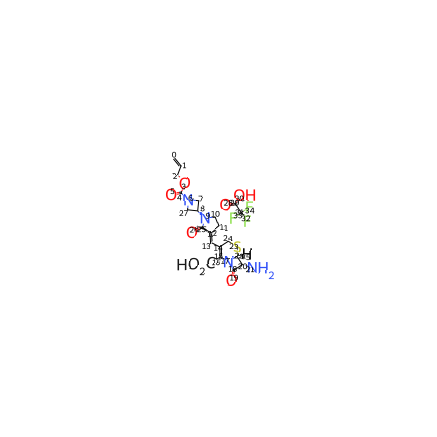 C=CCOC(=O)N1CC(N2CCC(=CC3=C(C(=O)O)N4C(=O)[C@@H](N)[C@H]4SC3)C2=O)C1.O=C(O)C(F)(F)F